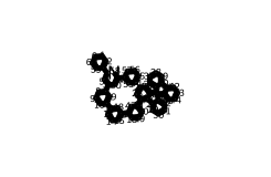 c1ccc(-c2cc(-c3cccc(-c4cccc(-c5cccc(-c6cccc7c6-c6ccccc6C76c7ccccc7-c7ccccc76)c5)c4)c3)cc(-c3ccccc3)n2)cc1